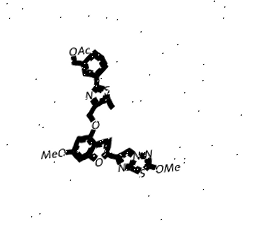 COc1cc(OCc2nc(-c3cccc(COC(C)=O)c3)sc2C)c2cc(-c3cn4nc(OC)sc4n3)oc2c1